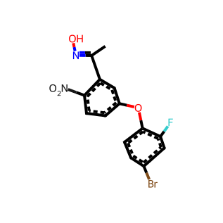 CC(=NO)c1cc(Oc2ccc(Br)cc2F)ccc1[N+](=O)[O-]